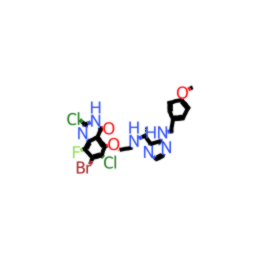 COc1ccc(CNc2nccnc2[C@@H](C)NCCOc2c(Cl)c(Br)c(F)c3nc(Cl)[nH]c(=O)c23)cc1